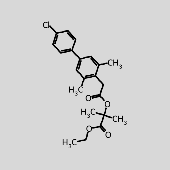 CCOC(=O)C(C)(C)OC(=O)Cc1c(C)cc(-c2ccc(Cl)cc2)cc1C